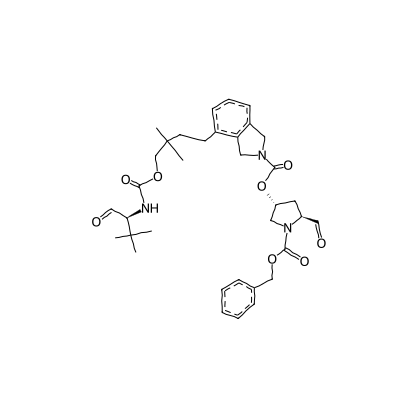 CC(C)(CCc1cccc2c1CN(C(=O)O[C@@H]1C[C@@H](C=O)N(C(=O)OCc3ccccc3)C1)C2)COC(=O)N[C@H](C=O)C(C)(C)C